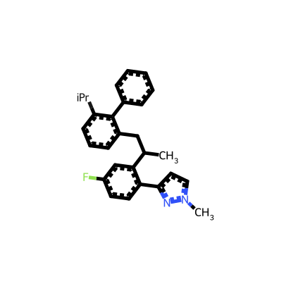 CC(C)c1cccc(CC(C)c2cc(F)ccc2-c2ccn(C)n2)c1-c1ccccc1